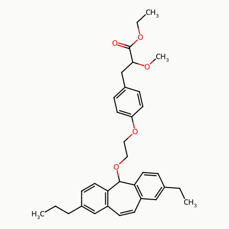 CCCc1ccc2c(c1)C=Cc1cc(CC)ccc1C2OCCOc1ccc(CC(OC)C(=O)OCC)cc1